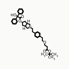 CC(C)(C)OC(=O)CCOCCc1ccc(CCN2C[C@H]3C[C@@H](OC(=O)C(O)(c4ccccc4)c4ccccc4)C[C@H]3C2)cc1